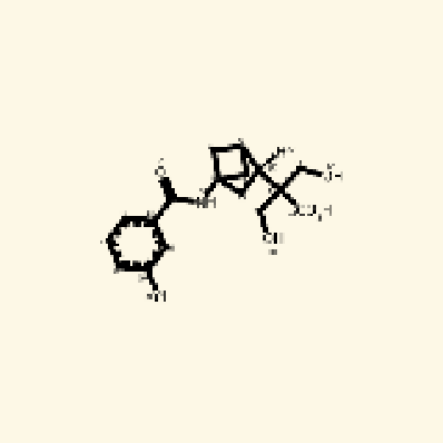 O=C(NC12CC(C1)[C@H](C(CO)(CO)C(=O)O)C2)c1cccc(Cl)c1